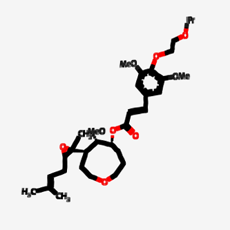 COc1cc(/C=C/C(=O)O[C@@H]2CCCOCC[C@@H](C3(C)OC3CC=C(C)C)[C@@H]2OC)cc(OC)c1OCCOC(C)C